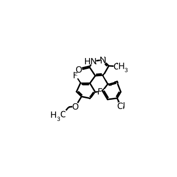 CCOc1cc(F)c(-c2c(-c3ccc(Cl)cc3)c(C)n[nH]c2=O)c(F)c1